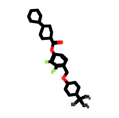 CCC(C)(C)C1CCC(OCc2ccc(OC(=O)C3CCC(C4CCCCC4)CC3)c(F)c2F)CC1